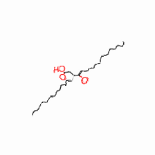 CCCCCCCCCCCCCC(=O)[C@H](CCCCCCCCCCCCC)CC(=O)O